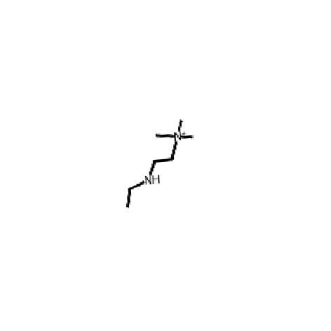 CCNCC[N+](C)(C)C